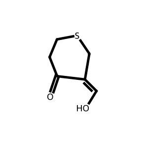 O=C1CCSCC1=CO